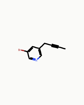 CC#CCc1cncc(Br)c1